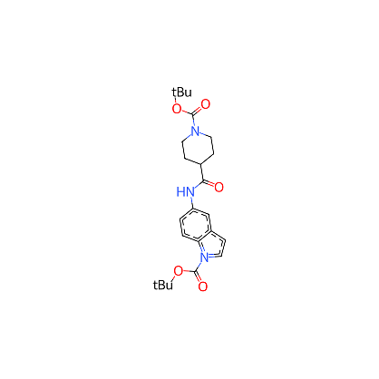 CC(C)(C)OC(=O)N1CCC(C(=O)Nc2ccc3c(ccn3C(=O)OC(C)(C)C)c2)CC1